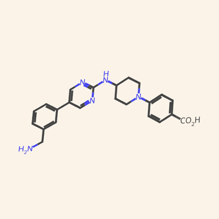 NCc1cccc(-c2cnc(NC3CCN(c4ccc(C(=O)O)cc4)CC3)nc2)c1